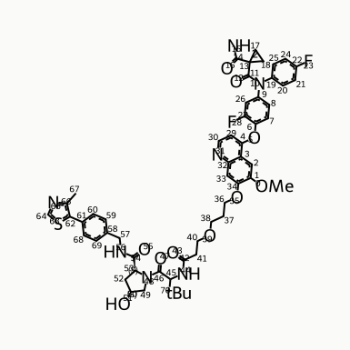 COc1cc2c(Oc3ccc(N(C(=O)C4(C(N)=O)CC4)c4ccc(F)cc4)cc3F)ccnc2cc1OCCCOCCC(=O)NC(C(=O)N1C[C@@H](O)C[C@H]1C(=O)NCc1ccc(-c2scnc2C)cc1)C(C)(C)C